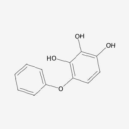 Oc1ccc(Oc2ccccc2)c(O)c1O